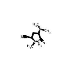 CN(C)C(C#N)CC(C#N)N(C)C